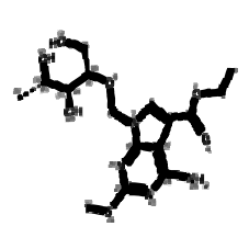 CCOC(=O)c1cn(CO[C@H](CO)[C@@H](O)[C@H](C)O)c2nc(SC)nc(N)c12